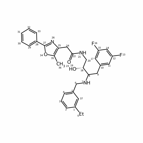 CCc1cccc(CNC(Cc2cc(F)cc(F)c2)[C@H](O)CNC(=O)Cc2nc(-c3ccccc3)oc2C)c1